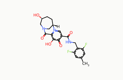 Cc1cc(F)c(CNC(=O)c2cn3c(c(O)c2=O)C(=O)N2C[C@@H](O)CC[C@H]3C2)c(F)c1